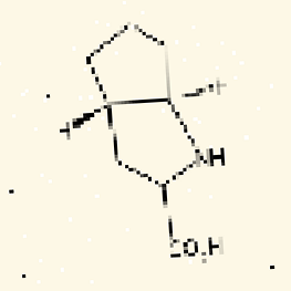 O=C(O)C1C[C@@H]2CCC[C@H]2N1